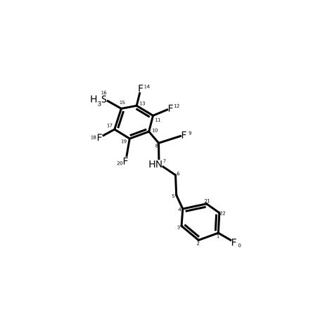 Fc1ccc(CCNC(F)c2c(F)c(F)c([SH3])c(F)c2F)cc1